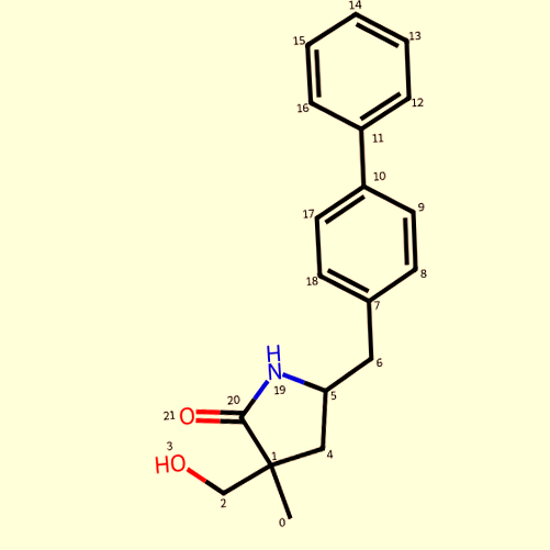 CC1(CO)CC(Cc2ccc(-c3ccccc3)cc2)NC1=O